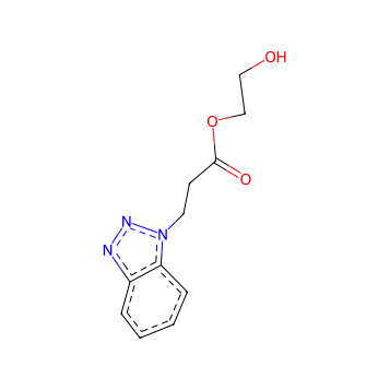 O=C(CCn1nnc2ccccc21)OCCO